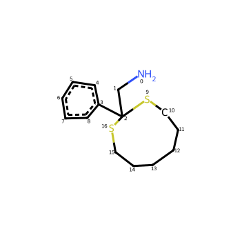 NCC1(c2ccccc2)SCCCCCCS1